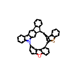 CC12c3ccccc3-c3cc4c5ccccc5n(c4cc31)-c1ccc3oc4cccc(c4c3c1)-c1ccc2c2c1sc1ccccc12